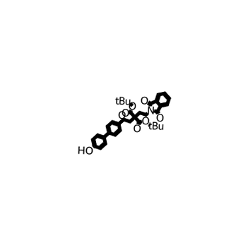 CC(C)(C)OC(=O)C(CCN1C(=O)c2ccccc2C1=O)(CC(=O)c1ccc(-c2ccc(O)cc2)cc1)C(=O)OC(C)(C)C